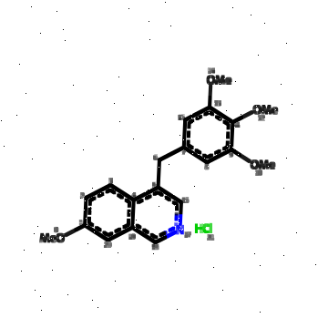 COc1ccc2c(Cc3cc(OC)c(OC)c(OC)c3)cncc2c1.Cl